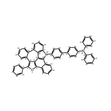 c1ccc(-c2oc3c4ccccc4c4c5c3c2-c2ccccc2-c2cccc(c25)n4-c2ccc(-c3ccc(N(c4ccccc4)c4ccccc4)cc3)cc2)cc1